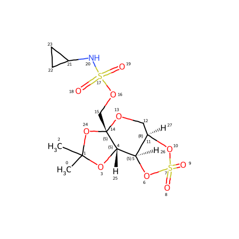 CC1(C)O[C@H]2[C@@H]3OS(=O)(=O)O[C@@H]3CO[C@@]2(COS(=O)(=O)NC2CC2)O1